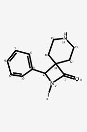 O=C1N(I)C(c2ccccc2)C12CCNCC2